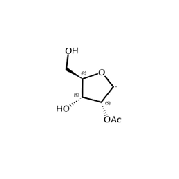 CC(=O)O[C@H]1[CH]O[C@H](CO)[C@H]1O